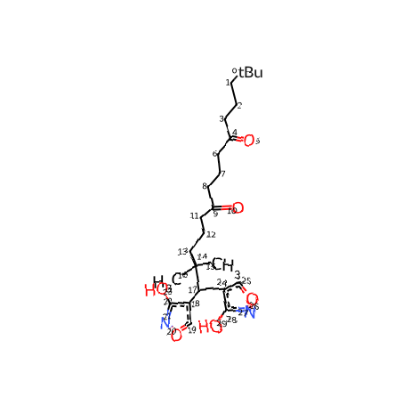 CC(C)(C)CCCC(=O)CCCC(=O)CCCC(C)(C)C(c1conc1O)c1conc1O